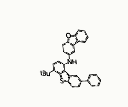 CC(C)(C)c1ccc(Nc2ccc3oc4ccccc4c3c2)c2c1sc1ccc(-c3ccccc3)cc12